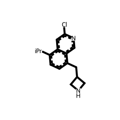 CC(C)c1ccc(CC2CNC2)c2cnc(Cl)cc12